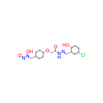 O=NN(O)Cc1ccc(OCC(=O)NN=Cc2cc(Cl)ccc2O)cc1